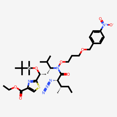 CCOC(=O)c1csc([C@@H](C[C@H](C(C)C)N(OCCCOCc2ccc([N+](=O)[O-])cc2)C(=O)[C@@H](N=[N+]=[N-])[C@@H](C)CC)O[Si](C)(C)C(C)(C)C)n1